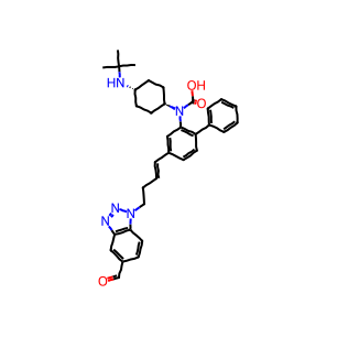 CC(C)(C)N[C@H]1CC[C@H](N(C(=O)O)c2cc(C=CCCn3nnc4cc(C=O)ccc43)ccc2-c2ccccc2)CC1